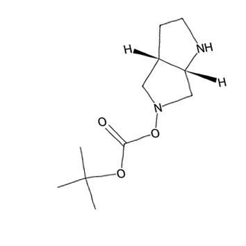 CC(C)(C)OC(=O)ON1C[C@@H]2CCN[C@@H]2C1